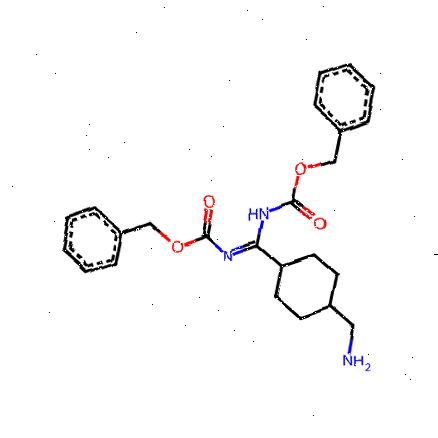 NCC1CCC(C(=NC(=O)OCc2ccccc2)NC(=O)OCc2ccccc2)CC1